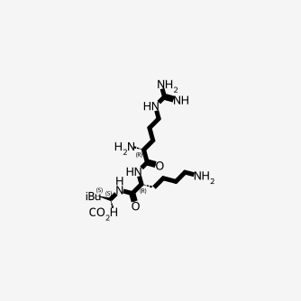 CC[C@H](C)[C@H](NC(=O)[C@@H](CCCCN)NC(=O)[C@H](N)CCCNC(=N)N)C(=O)O